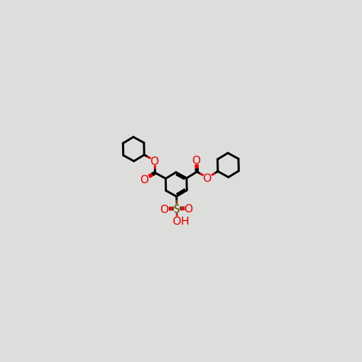 O=C(OC1CCCCC1)C1=CC(C(=O)OC2CCCCC2)CC(S(=O)(=O)O)=C1